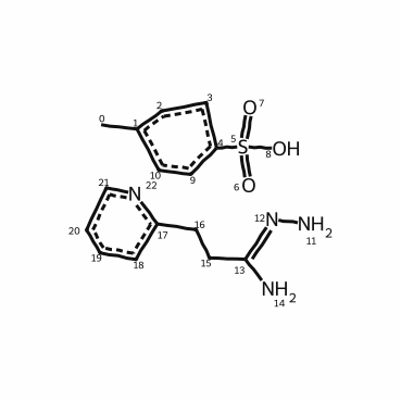 Cc1ccc(S(=O)(=O)O)cc1.NN=C(N)CCc1ccccn1